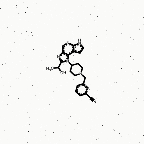 CC(O)c1nc2cnc3[nH]ccc3c2n1C1CCN(Cc2cccc(C#N)c2)CC1